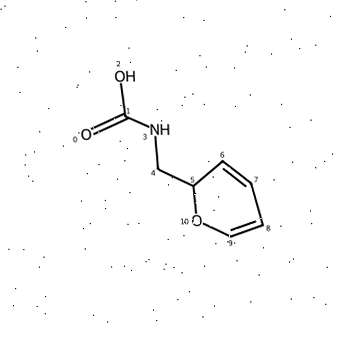 O=C(O)NCC1C=CC=CO1